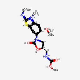 CC(C)(C)[O-].CON=c1sc2cc(N3C[C@H](CNC(=O)OC(C)(C)C)OC3=O)ccc2n1C.[Li+]